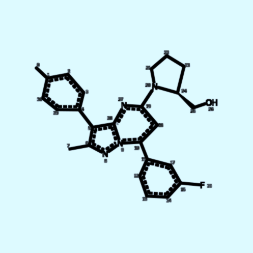 Cc1ccc(-c2c(C)nn3c(-c4cccc(F)c4)cc(N4CCC[C@H]4CO)nc23)cc1